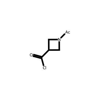 CC(=O)N1CC(C(=O)Cl)C1